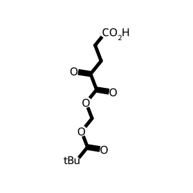 CC(C)(C)C(=O)OCOC(=O)C(=O)CCC(=O)O